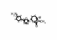 CN1C(=O)N2C[C@H]1CC[C@H]2c1nnc(C2CC[C@@H](N)C2)o1